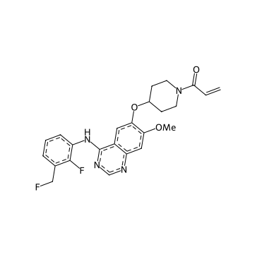 C=CC(=O)N1CCC(Oc2cc3c(Nc4cccc(CF)c4F)ncnc3cc2OC)CC1